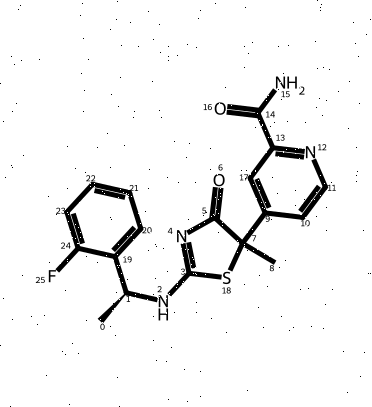 C[C@H](NC1=NC(=O)C(C)(c2ccnc(C(N)=O)c2)S1)c1ccccc1F